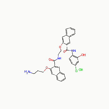 Cl.NCCCOc1cc2ccccc2cc1C(=O)NCCOc1cc2ccccc2cc1C(=O)Nc1ccc(Cl)cc1O